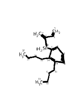 C=C[C](=C)[SnH2][c]1cccc(CCCC)c1CCCC